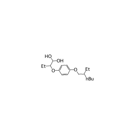 CCCCC(CC)COc1ccc(OC(CC)C(O)O)cc1